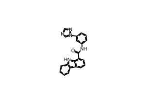 O=C(Nc1cccc(-n2cncn2)c1)c1cccc2c1[nH]c1ccccc12